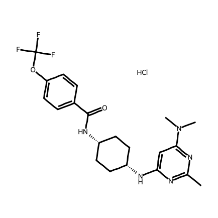 Cc1nc(N[C@H]2CC[C@@H](NC(=O)c3ccc(OC(F)(F)F)cc3)CC2)cc(N(C)C)n1.Cl